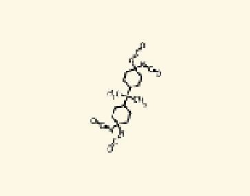 CC(C)(C1CCC(N=C=O)(N=C=O)CC1)C1CCC(N=C=O)(N=C=O)CC1